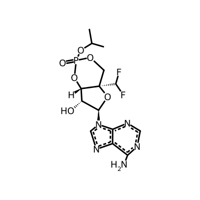 CC(C)OP1(=O)OC[C@@]2(C(F)F)O[C@@H](n3cnc4c(N)ncnc43)[C@H](O)[C@@H]2O1